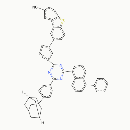 N#Cc1ccc2sc3ccc(-c4cccc(-c5nc(-c6ccc(C78CC9C[C@H](C7)C[C@@H](C9)C8)cc6)nc(-c6cccc7c(-c8ccccc8)cccc67)n5)c4)cc3c2c1